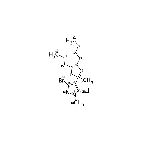 CCCCCCC(C)(CCCCC)c1c(Br)nn(C)c1Cl